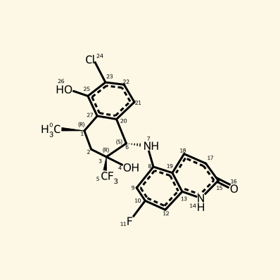 C[C@@H]1C[C@](O)(C(F)(F)F)[C@@H](Nc2cc(F)cc3[nH]c(=O)ccc23)c2ccc(Cl)c(O)c21